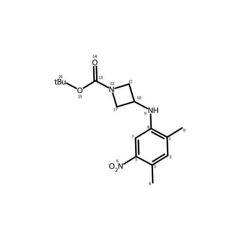 Cc1cc(C)c([N+](=O)[O-])cc1NC1CN(C(=O)OC(C)(C)C)C1